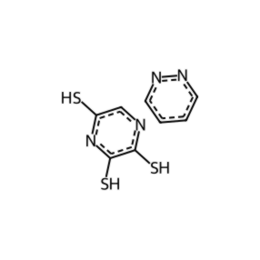 Sc1cnc(S)c(S)n1.c1ccnnc1